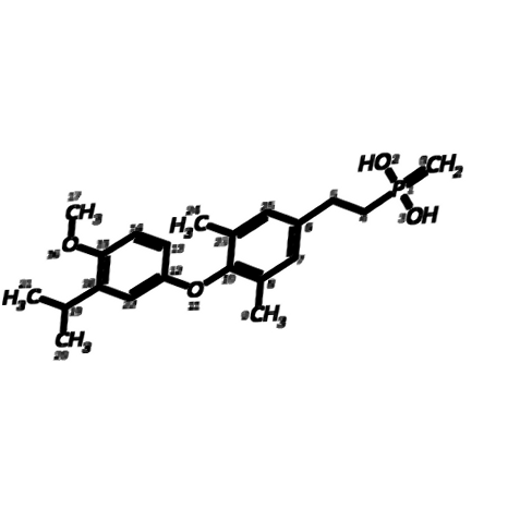 C=P(O)(O)CCc1cc(C)c(Oc2ccc(OC)c(C(C)C)c2)c(C)c1